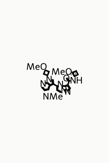 CNc1cc(-c2cn(C3CC(OC)C3)c3ncccc23)nc2c(C(=O)NC3CC[C@@H]3OC)cnn12